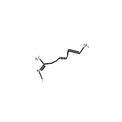 C/C=C/C=C/C/C(C)=N\I